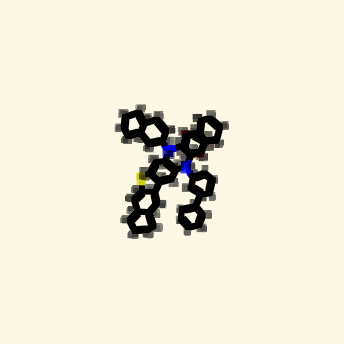 c1ccc(-c2cccc(N(c3ccc4ccccc4c3)c3cc4c(cc3N(c3ccccc3)c3ccc5ccccc5c3)sc3cc5ccccc5cc34)c2)cc1